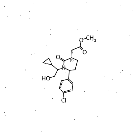 COC(=O)C[C@H]1CCC(c2ccc(Cl)cc2)N(C(CO)C2CC2)C1=O